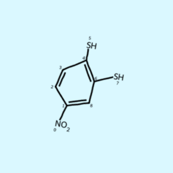 O=[N+]([O-])c1ccc(S)c(S)c1